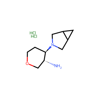 Cl.Cl.N[C@@H]1COCC[C@H]1N1CC2CC2C1